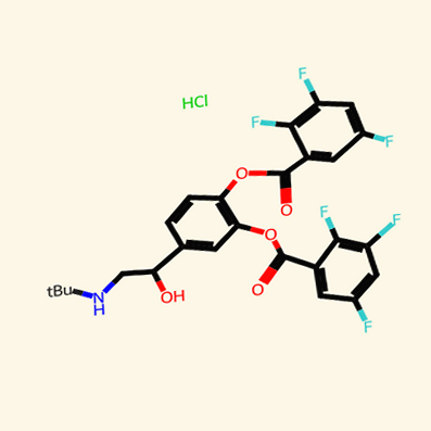 CC(C)(C)NCC(O)c1ccc(OC(=O)c2cc(F)cc(F)c2F)c(OC(=O)c2cc(F)cc(F)c2F)c1.Cl